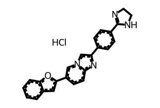 Cl.c1ccc2oc(-c3ccc4nc(-c5ccc(C6=NCCN6)cc5)cn4c3)cc2c1